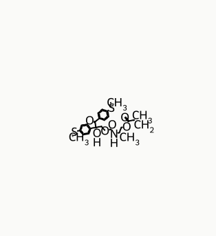 C=C(C)C(=O)OCC(C)NC(=O)OCC(O)(C(=O)c1ccc(SC)cc1)c1ccc(SC)cc1